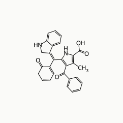 Cc1c(C(=O)O)[nH]c(C(C2=CC=CCC2=O)=C2CNc3ccccc32)c1C(=O)c1ccccc1